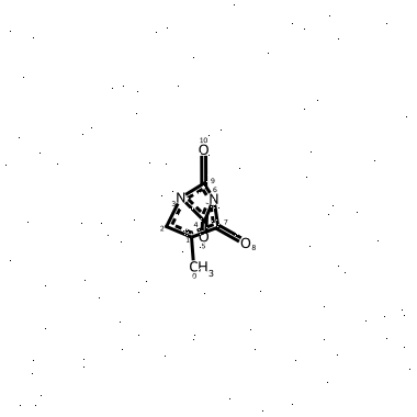 Cc1cn2c(=O)n(c1=O)c2=O